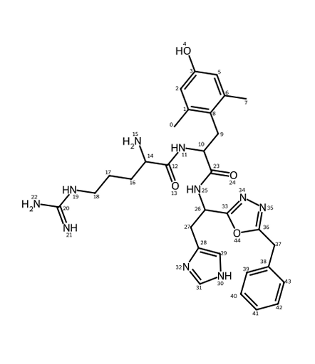 Cc1cc(O)cc(C)c1CC(NC(=O)C(N)CCCNC(=N)N)C(=O)NC(Cc1c[nH]cn1)c1nnc(Cc2ccccc2)o1